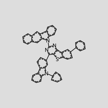 c1ccc(-c2ccc3sc4c(-c5ccc6c7ccccc7n(-c7ccccc7)c6c5)nc(-n5c6ccccc6c6cc7ccccc7cc65)nc4c3c2)cc1